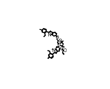 C=CC(=O)OC(C)(C)CC(C)(C)OC(COc1ccc2cc(-c3ccc(C)cc3CC)n(C)c2c1)COc1ccc2cc(-c3ccc(C)cc3CC)n(C)c2c1